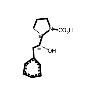 O=C(O)N1CCC[C@H]1[C@H](O)Cc1ccccc1